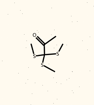 CSC(SC)(SC)C(C)=O